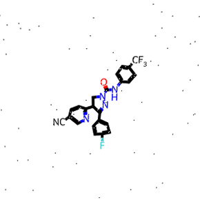 N#Cc1ccc(C2CN(C(=O)Nc3ccc(C(F)(F)F)cc3)N=C2c2ccc(F)cc2)nc1